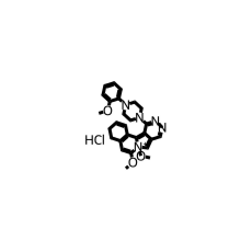 COC1=CC2=C(C=CCC2)C2=c3c(N4CCN(c5ccccc5OC)CC4)nncc3=C[N+]12OC.Cl